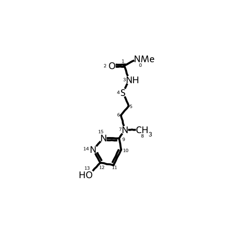 CNC(=O)NSCCN(C)c1ccc(O)nn1